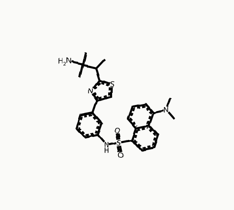 CC(c1nc(-c2cccc(NS(=O)(=O)c3cccc4c(N(C)C)cccc34)c2)cs1)C(C)(C)N